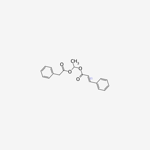 CC(OC(=O)/C=C/c1ccccc1)OC(=O)Cc1ccccc1